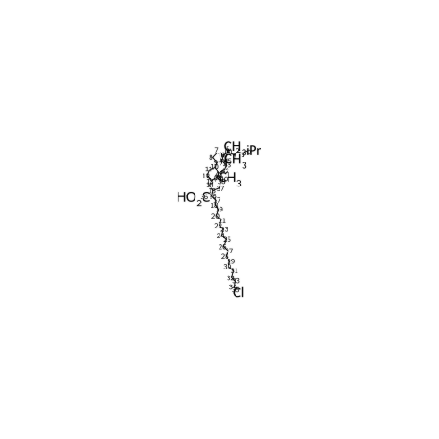 CC(C)CCC[C@@H](C)[C@H]1CCC2C3CC=C4CC(C(CCCCCCCCCCCCCCCCCCCl)C(=O)O)CC[C@]4(C)C3CC[C@@]21C